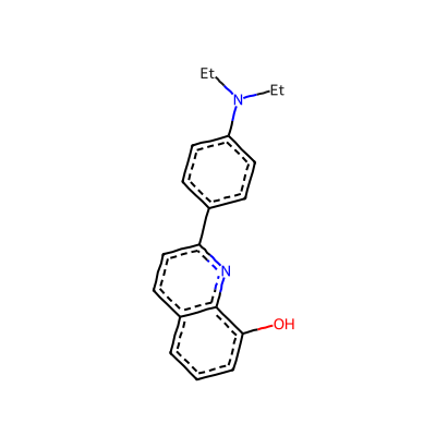 CCN(CC)c1ccc(-c2ccc3cccc(O)c3n2)cc1